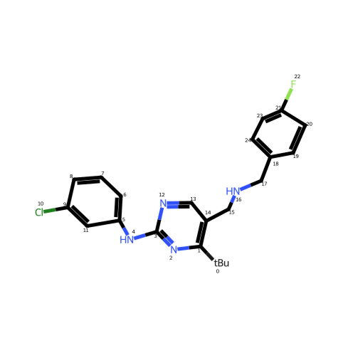 CC(C)(C)c1nc(Nc2cccc(Cl)c2)ncc1CNCc1ccc(F)cc1